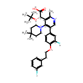 Cc1ncc(-c2ccc(OCCc3cccc(F)c3)c(F)c2)c(N2CCC(C)(C)CC2)c1[C@H](OC(C)(C)C)C(=O)O